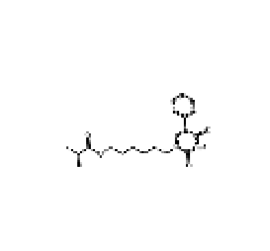 C=C(C)C(=O)OCCCCCCn1cc(-c2ccccc2)c(=S)[nH]c1=O